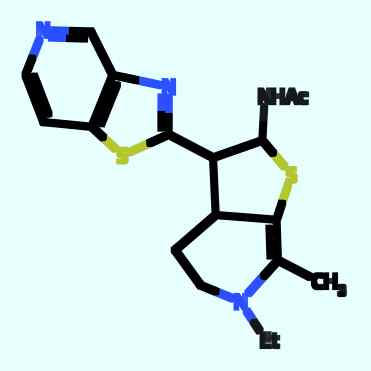 CCN1CCC2C(=C1C)SC(NC(C)=O)C2c1nc2cnccc2s1